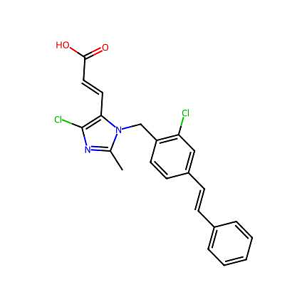 Cc1nc(Cl)c(C=CC(=O)O)n1Cc1ccc(C=Cc2ccccc2)cc1Cl